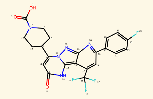 O=C(O)N1CCC(c2cc(=O)[nH]c3c4c(C(F)(F)F)cc(-c5ccc(F)cc5)nc4nn23)CC1